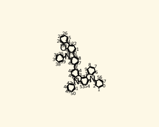 c1ccc(-n2c3ccccc3c3c4c5cc(-c6ccc7c8ccc9c%10ccccc%10oc9c8n(-c8ccccc8)c7c6)ccc5n(-c5ccccc5)c4ccc32)cc1